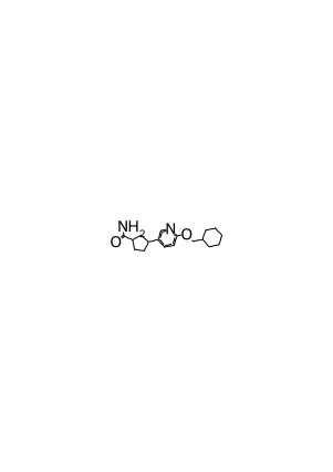 NC(=O)C1CCC(c2ccc(OCC3CCCCC3)nc2)C1